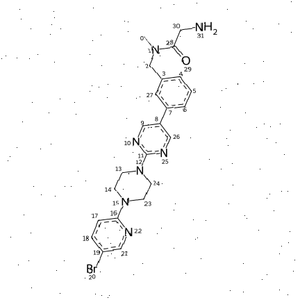 CN(Cc1cccc(-c2cnc(N3CCN(c4ccc(Br)cn4)CC3)nc2)c1)C(=O)CN